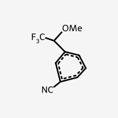 COC(c1cccc(C#N)c1)C(F)(F)F